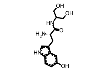 N[C@@H](Cc1c[nH]c2ccc(O)cc12)C(=O)NC(CO)CO